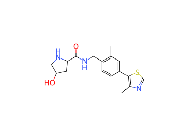 Cc1cc(-c2scnc2C)ccc1CNC(=O)C1CC(O)CN1